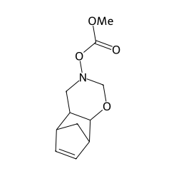 COC(=O)ON1COC2C3C=CC(C3)C2C1